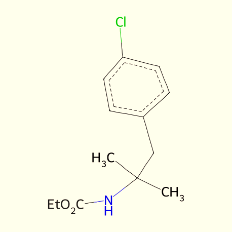 CCOC(=O)NC(C)(C)Cc1ccc(Cl)cc1